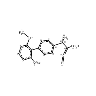 COc1cccc(OC(F)(F)F)c1-c1ccc([C@@H](N)C(=C=O)C(=O)O)cc1